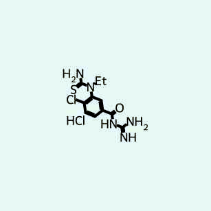 CCN(C(N)=S)c1cc(C(=O)NC(=N)N)ccc1Cl.Cl